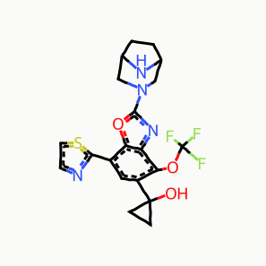 OC1(c2cc(-c3nccs3)c3oc(N4CC5CCC(C4)N5)nc3c2OC(F)(F)F)CC1